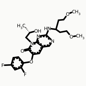 COCCC(CCOC)Nc1ncc2cc(Oc3ccc(F)cc3F)c(=O)n(C[C@H](C)O)c2n1